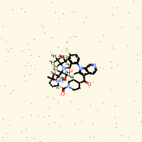 [2H]C([2H])([2H])C([2H])(N(C(=O)c1cc(F)ccc1-n1c(C)c(C(=O)C2CCN(C(=O)[C@@H]3CCC(C)(C)N3)CC2)c2ccncc21)C([2H])(C([2H])([2H])[2H])C([2H])([2H])[2H])C([2H])([2H])[2H]